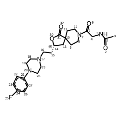 CC(=O)NCC(=O)N1CCC2(CC1)C[C@H](CCN1CCN(c3ccc(F)cc3)CC1)OC2=O